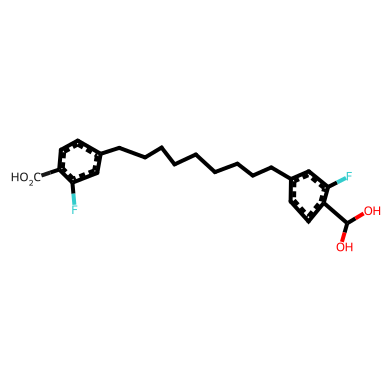 O=C(O)c1ccc(CCCCCCCCCc2ccc(C(O)O)c(F)c2)cc1F